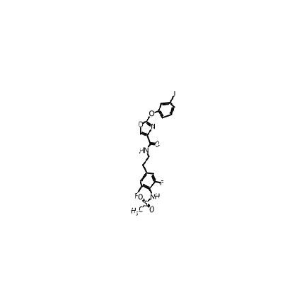 CS(=O)(=O)Nc1c(F)cc(CCNC(=O)c2coc(Oc3cccc(I)c3)n2)cc1F